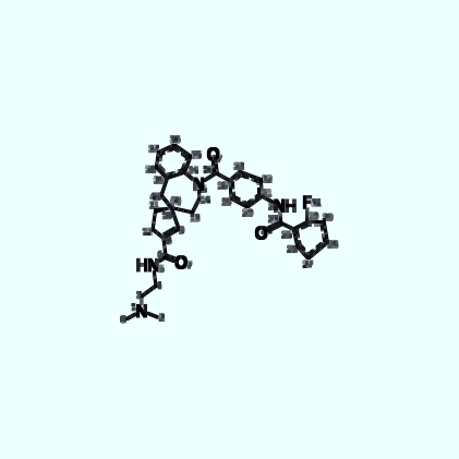 CN(C)CCNC(=O)C1=C[C@@]2(CC1)CCN(C(=O)c1ccc(NC(=O)c3ccccc3F)cc1)c1ccccc1C2